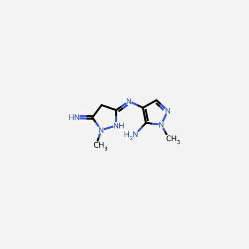 CN1NC(=Nc2cnn(C)c2N)CC1=N